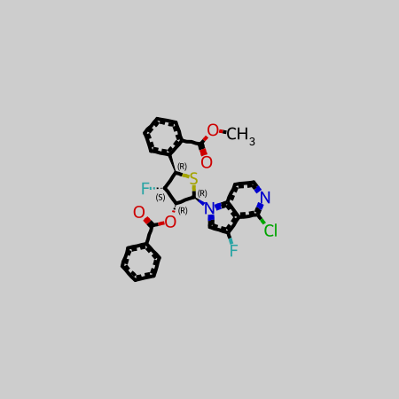 COC(=O)c1ccccc1[C@H]1S[C@@H](n2cc(F)c3c(Cl)nccc32)[C@H](OC(=O)c2ccccc2)[C@@H]1F